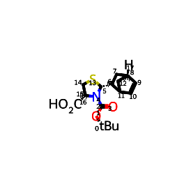 CC(C)(C)OC(=O)N1C([C@@H]2C[C@@H]3C=CC2C3)SC[C@H]1C(=O)O